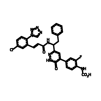 O=C(O)Nc1ccc(-c2cc(C(Cc3ccccc3)NC(=O)C=Cc3cc(Cl)ccc3-n3cnnn3)n[nH]c2=O)cc1F